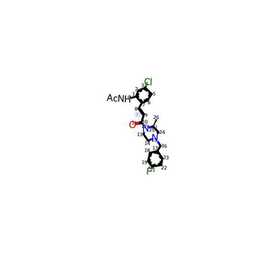 CC(=O)Nc1cc(Cl)ccc1/C=C/C(=O)N1CCN(Cc2ccc(F)cc2)C[C@@H]1C